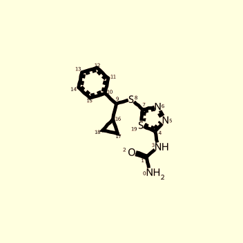 NC(=O)Nc1nnc(SC(c2ccccc2)C2CC2)s1